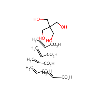 C=CC(=O)O.C=CC(=O)O.C=CC(=O)O.C=CC(=O)O.C=CC(=O)O.OCC(CO)(CO)CO